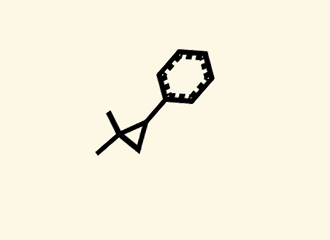 CC1(C)CC1c1ccccc1